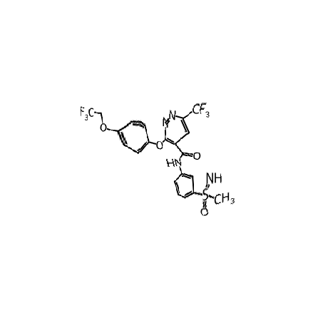 CS(=N)(=O)c1cccc(NC(=O)c2cc(C(F)(F)F)nnc2Oc2ccc(OCC(F)(F)F)cc2)c1